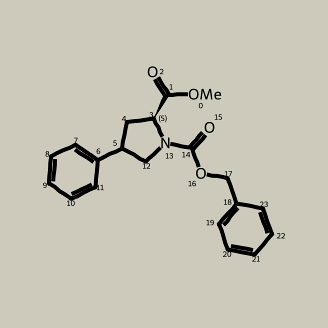 COC(=O)[C@@H]1CC(c2ccccc2)CN1C(=O)OCc1ccccc1